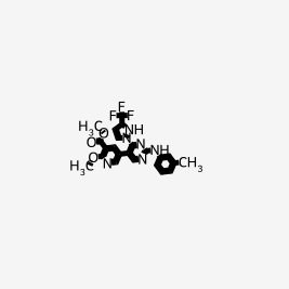 COC(=O)c1cc(-c2cnc(Nc3cccc(C)c3)nc2N2C=CC(C(F)(F)F)N2)cnc1OC